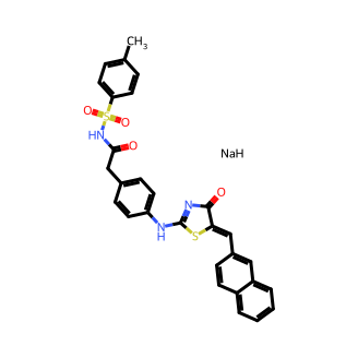 Cc1ccc(S(=O)(=O)NC(=O)Cc2ccc(NC3=NC(=O)/C(=C/c4ccc5ccccc5c4)S3)cc2)cc1.[NaH]